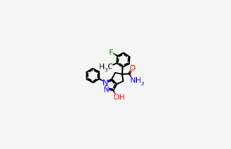 Cc1c(F)cccc1C1(C(N)=O)Cc2c(O)nn(-c3ccccc3)c2C1